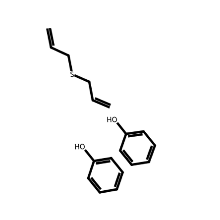 C=CCSCC=C.Oc1ccccc1.Oc1ccccc1